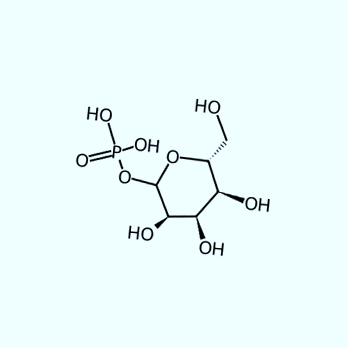 O=P(O)(O)OC1O[C@H](CO)[C@@H](O)[C@@H](O)[C@H]1O